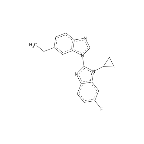 CCc1ccc2ncn(-c3nc4ccc(F)cc4n3C3CC3)c2c1